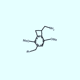 COc1cc(CC(C)C)c(OC)c2c1C(CN)C2